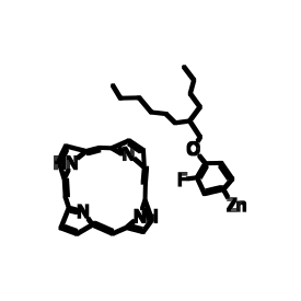 C1=Cc2cc3ccc(cc4nc(cc5ccc(cc1n2)[nH]5)C=C4)[nH]3.CCCCCCC(CCCC)COc1cc[c]([Zn])cc1F